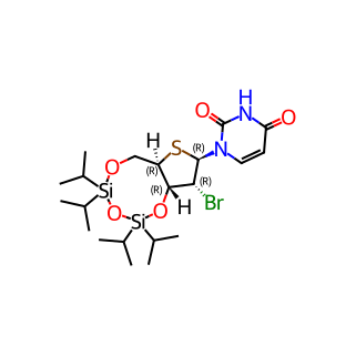 CC(C)[Si]1(C(C)C)OC[C@H]2S[C@@H](n3ccc(=O)[nH]c3=O)[C@H](Br)[C@@H]2O[Si](C(C)C)(C(C)C)O1